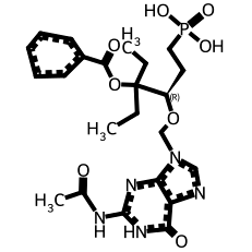 CCC(CC)(OC(=O)c1ccccc1)[C@@H](CCP(=O)(O)O)OCn1cnc2c(=O)[nH]c(NC(C)=O)nc21